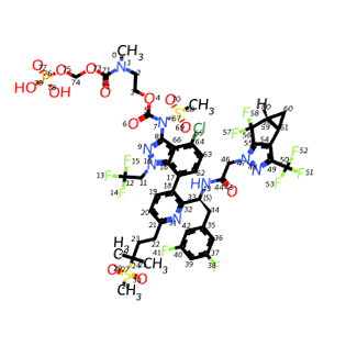 CN(CCOC(=O)N(c1nn(CC(F)(F)F)c2c(-c3ccc(CCC(C)(C)S(C)(=O)=O)nc3[C@H](Cc3cc(F)cc(F)c3)NC(=O)Cn3nc(C(F)(F)F)c4c3C(F)(F)[C@@H]3CC43)ccc(Cl)c12)S(C)(=O)=O)C(=O)OCOP(=O)(O)O